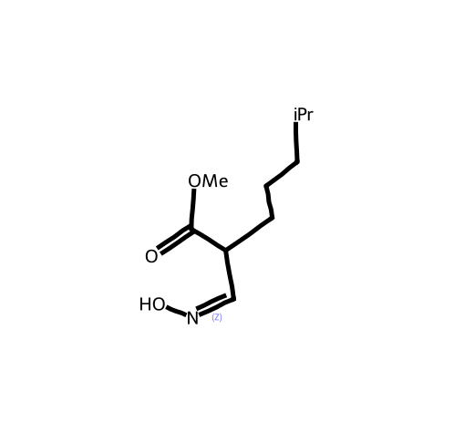 COC(=O)C(/C=N\O)CCCC(C)C